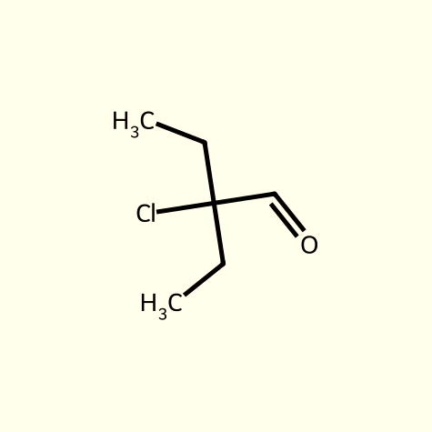 CCC(Cl)(C=O)CC